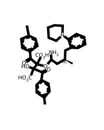 Cc1ccc(C(=O)C(O)(C(=O)O)C(OC(N)C[C@H](C)Cc2ccccc2N2CCCCC2)(C(=O)O)C(=O)c2ccc(C)cc2)cc1